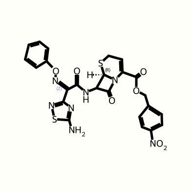 Nc1nc(/C(=N/Oc2ccccc2)C(=O)NC2C(=O)N3C(C(=O)OCc4ccc([N+](=O)[O-])cc4)=CCS[C@H]23)ns1